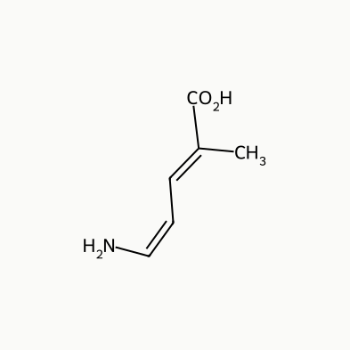 C/C(=C\C=C/N)C(=O)O